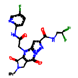 CC(C)N1Cc2c(n(CC(=O)Nc3ccc(F)cn3)c3cc(C(=O)NCC(F)F)nn3c2=O)C1=O